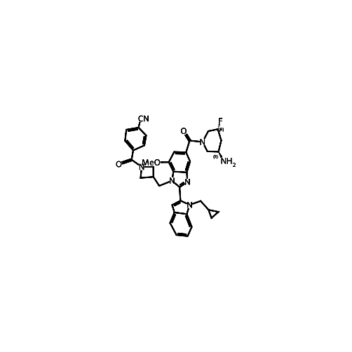 COc1cc(C(=O)N2C[C@H](N)C[C@@H](F)C2)cc2nc(-c3cc4ccccc4n3CC3CC3)n(CC3CN(C(=O)c4ccc(C#N)cc4)C3)c12